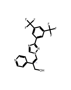 OC/C(=C/n1cnc(-c2cc(C(F)(F)F)cc(C(F)(F)F)c2)n1)c1ccncc1